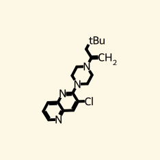 C=C(CC(C)(C)C)N1CCN(c2nc3cccnc3cc2Cl)CC1